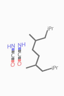 CC(C)CC(C)CCC(C)CC(C)C.N=C=O.N=C=O